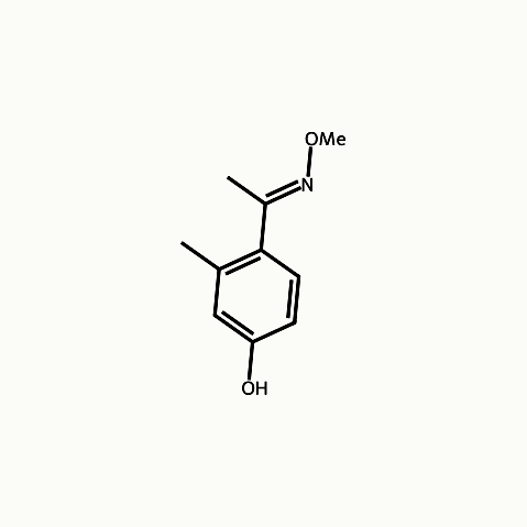 CO/N=C(\C)c1ccc(O)cc1C